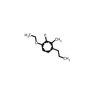 CCCc1ccc(OCC)c(F)c1C